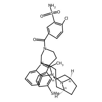 CSc1cccc(C2(CCN3[C@@H]4CC[C@H]3C[C@@H](n3c(C)nc5ccccc53)C4)CCN(C(=O)c3ccc(Cl)c(S(N)(=O)=O)c3)CC2)c1